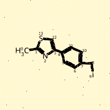 Cc1nc(-c2ccc(CI)cc2)cs1